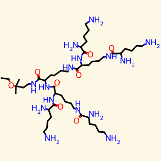 CCOC(C)(C)CCNC(=O)C(CCCCNC(=O)C(CCCCNC(=O)C(N)CCCCN)NC(=O)C(N)CCCCN)NC(=O)C(CCCCNC(=O)C(N)CCCCN)NC(=O)C(N)CCCCN